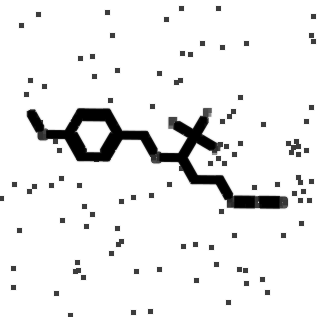 COc1ccc(COC(CCN=C=O)C(F)(F)F)cc1